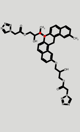 CCOc1ccc2ccc(OCC(O)COC(=O)Cn3cnnn3)cc2c1Cc1c(OCC(O)COC(=O)Cn2cnnn2)ccc2ccc(C)cc12